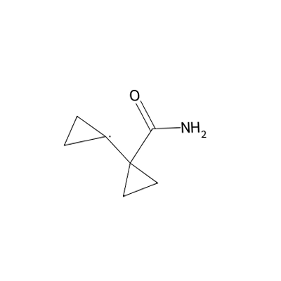 NC(=O)C1([C]2CC2)CC1